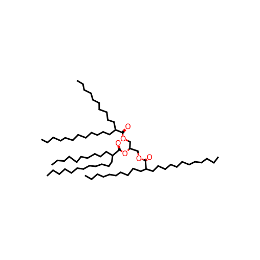 CCCCCCCCCCCCC(CCCCCCCCCC)C(=O)OCC(COC(=O)C(CCCCCCCCCC)CCCCCCCCCCCC)OC(=O)C(CCCCCCCCCC)CCCCCCCCCCCC